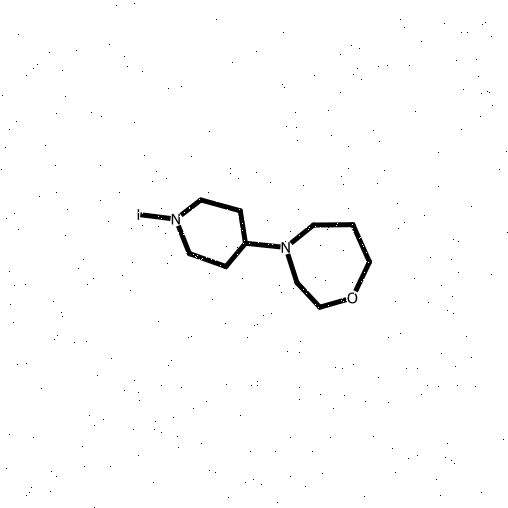 IN1CCC(N2CCCOCC2)CC1